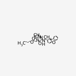 CCCCOC(=O)Cn1c(SC)nnc(N[C@H](C)c2ccc3oc4ccccc4c3c2)c1=O